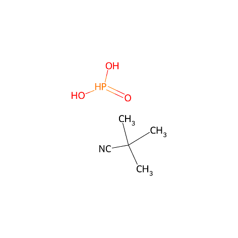 CC(C)(C)C#N.O=[PH](O)O